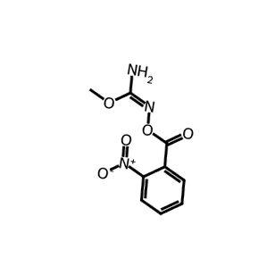 CO/C(N)=N\OC(=O)c1ccccc1[N+](=O)[O-]